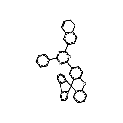 C1=Cc2cc(-c3nc(-c4ccccc4)nc(-c4ccc5c(c4)C4(c6ccccc6O5)c5ccccc5-c5ccccc54)n3)ccc2CC1